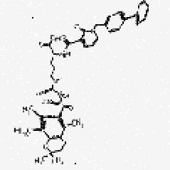 Cc1c(C)c(S(=O)(=O)NC(=N)NCCC[C@H](NC(=O)c2cccn(Cc3ccc(-c4ccccc4)cc3)c2=O)C(=O)O)c(C)c2c1OC(C)(C)CC2